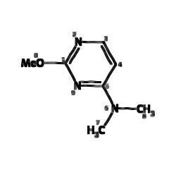 COc1nccc(N(C)C)n1